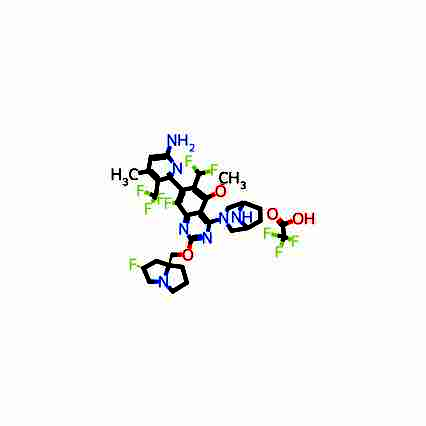 COc1c(C(F)F)c(-c2nc(N)cc(C)c2C(F)(F)F)c(F)c2nc(OC[C@@]34CCCN3C[C@H](F)C4)nc(N3CC4CCC(C3)N4)c12.O=C(O)C(F)(F)F